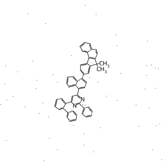 CC1(C)c2cc(-c3ccc(-c4cc(-c5ccccc5-c5ccccc5)nc(-c5ccccc5)n4)c4ccccc34)ccc2-c2c1ccc1ccccc21